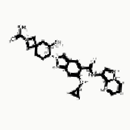 CC(=O)N1CC2(CC[C@@H](n3cc4cc(C(=O)Nc5cnn6cccnc56)c(OC5CC5)cc4n3)[C@H](C)C2)C1